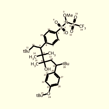 CON(S(=O)(=O)c1ccc(C(CC(C)(C)C)C(C)(C)C(C)(O)CC(c2ccc(OC(C)(C)C)cc2)C(C)(C)C)cc1)S(=O)(=O)C(F)(F)F